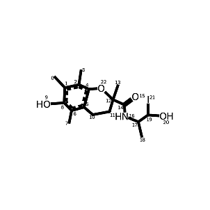 Cc1c(C)c2c(c(C)c1O)CCC(C)(C(=O)NC(C)C(O)I)O2